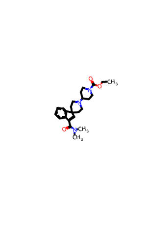 CCOC(=O)N1CCC(N2CCC3(C=C(C(=O)N(C)C)c4ccccc43)CC2)CC1